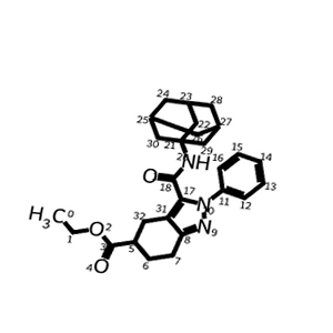 CCOC(=O)C1CCc2nn(-c3ccccc3)c(C(=O)NC34CC5CC(CC(C5)C3)C4)c2C1